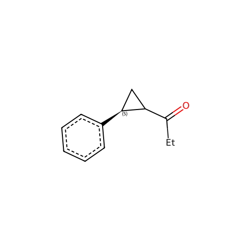 CCC(=O)C1C[C@@H]1c1ccccc1